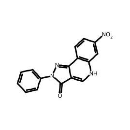 O=c1c2c[nH]c3cc([N+](=O)[O-])ccc3c-2nn1-c1ccccc1